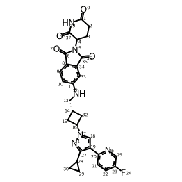 O=C1CCC(N2C(=O)c3ccc(NC[C@H]4C[C@H](n5cc(-c6ccc(F)cn6)c(C6CC6)n5)C4)cc3C2=O)C(=O)N1